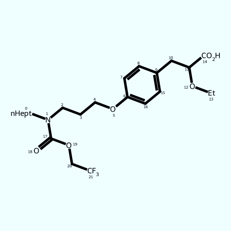 CCCCCCCN(CCCOc1ccc(CC(OCC)C(=O)O)cc1)C(=O)OCC(F)(F)F